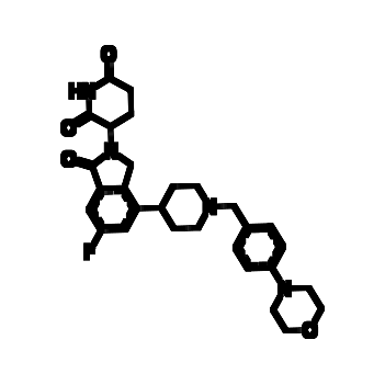 O=C1CCC(N2Cc3c(cc(F)cc3C3CCN(Cc4ccc(N5CCOCC5)cc4)CC3)C2=O)C(=O)N1